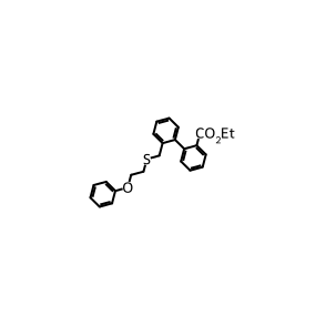 CCOC(=O)c1ccccc1-c1ccccc1CSCCOc1ccccc1